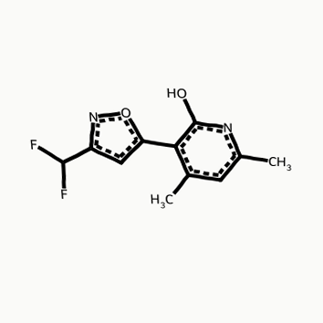 Cc1cc(C)c(-c2cc(C(F)F)no2)c(O)n1